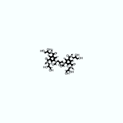 CN(CC(O)CO)C(=O)c1c(I)c(C(=O)N(C)CC(O)CO)c(I)c(N(C=O)CC(O)CN(C=O)c2c(I)c(C(=O)N(C)CC(O)CO)c(I)c(C(=O)N(C)CC(O)CO)c2I)c1I